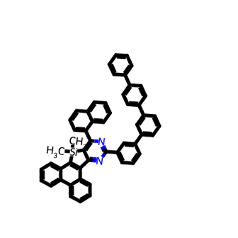 C[Si]1(C)c2c(-c3cccc4ccccc34)nc(-c3cccc(-c4cccc(-c5ccc(-c6ccccc6)cc5)c4)c3)nc2-c2c1c1ccccc1c1ccccc21